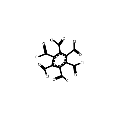 O=C(Cl)c1c(C(=O)Cl)c(C(=O)Cl)c(C(=O)Cl)c(C(=O)Cl)c1C(=O)Cl